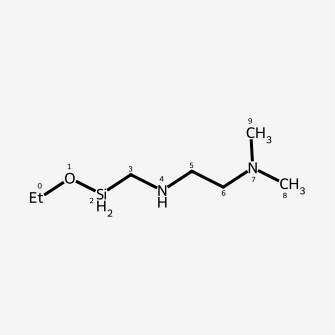 CCO[SiH2]CNCCN(C)C